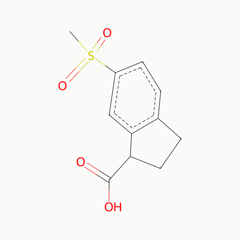 CS(=O)(=O)c1ccc2c(c1)C(C(=O)O)CC2